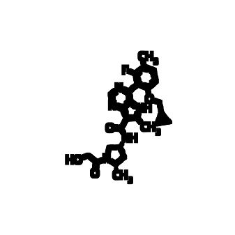 Cc1ccc(OCC2CC2)c(-c2ncnc3c(C(=O)N[C@@H]4C[C@H](C)N(C(=O)CO)C4)c(C)[nH]c23)c1F